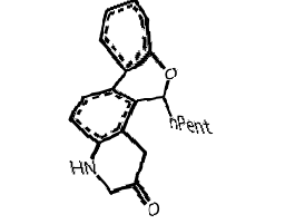 CCCCCC1Oc2ccccc2-c2ccc3c(c21)CC(=O)CN3